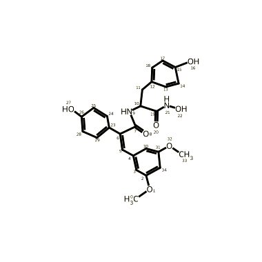 COc1cc(C=C(C(=O)NC(Cc2ccc(O)cc2)C(=O)NO)c2ccc(O)cc2)cc(OC)c1